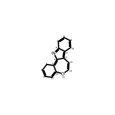 C1=CCC2=C3N=c4ccccc4=C3C=COC2=C1